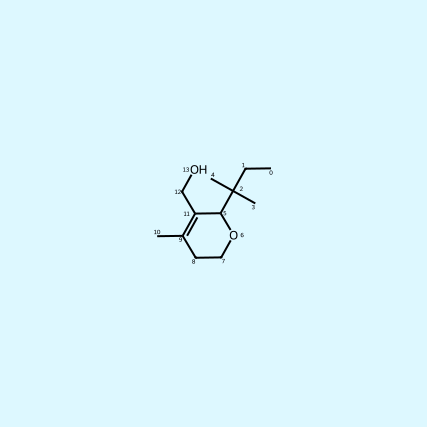 CCC(C)(C)C1OCCC(C)=C1CO